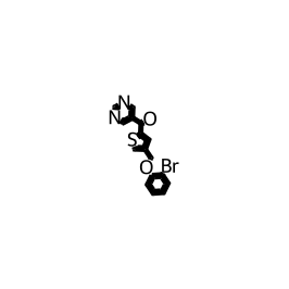 O=C(c1cncnc1)c1cc(COc2ccccc2Br)cs1